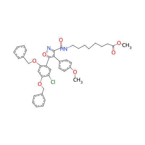 COC(=O)CCCCCCCNC(=O)c1noc(-c2cc(Cl)c(OCc3ccccc3)cc2OCc2ccccc2)c1-c1ccc(OC)cc1